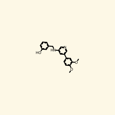 COc1ccc(-c2cncc(NCc3cccc(O)c3)c2)cc1OC